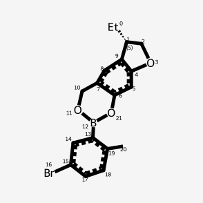 CC[C@@H]1COc2cc3c(cc21)COB(c1cc(Br)ccc1C)O3